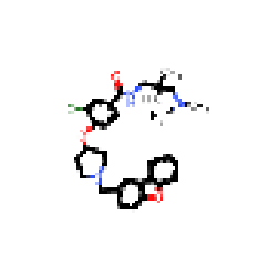 CN(C)CC(C)(C)CNC(=O)c1ccc(OC2CCN(Cc3ccc4oc5ccccc5c4c3)CC2)c(Cl)c1